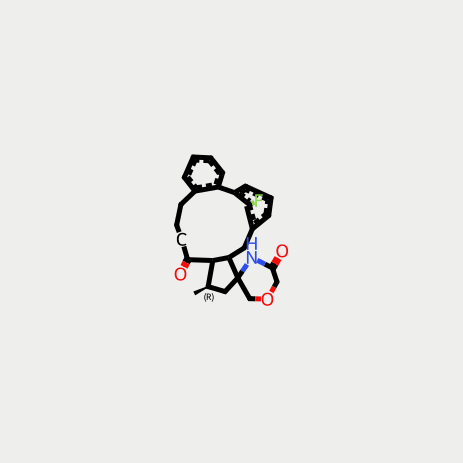 C[C@@H]1CC2(COCC(=O)N2)C2Cc3cccc(c3F)-c3ccccc3CCCC(=O)C21